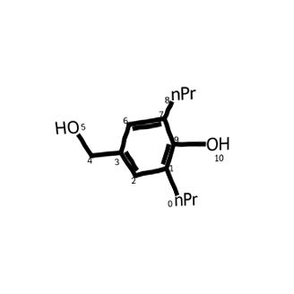 CCCc1cc(CO)cc(CCC)c1O